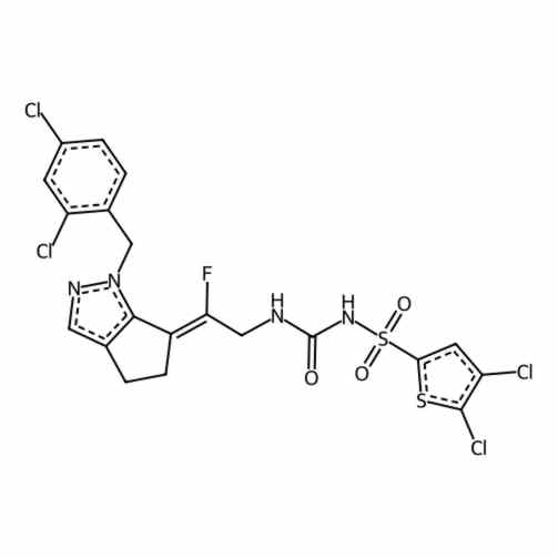 O=C(NCC(F)=C1CCc2cnn(Cc3ccc(Cl)cc3Cl)c21)NS(=O)(=O)c1cc(Cl)c(Cl)s1